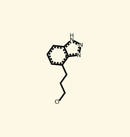 ClCCCc1cccc2[nH]nnc12